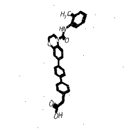 CC1CC=CC=C1NC(=O)N1CCOC2=CC(c3ccc(C4CCC(CC(=O)O)CC4)cc3)CC=C21